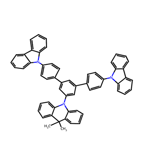 CC1(C)c2ccccc2N(c2cc(-c3ccc(-n4c5ccccc5c5ccccc54)cc3)cc(-c3ccc(-n4c5ccccc5c5ccccc54)cc3)c2)c2ccccc21